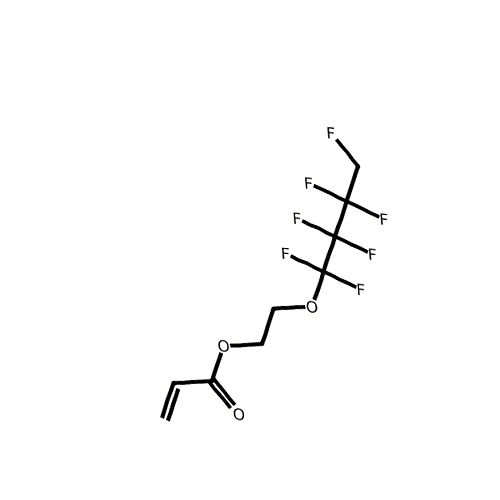 C=CC(=O)OCCOC(F)(F)C(F)(F)C(F)(F)CF